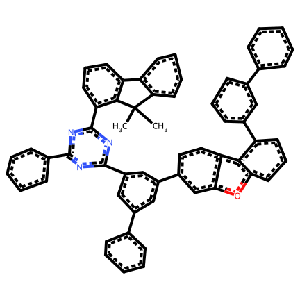 CC1(C)c2ccccc2-c2cccc(-c3nc(-c4ccccc4)nc(-c4cc(-c5ccccc5)cc(-c5ccc6c(c5)oc5cccc(-c7cccc(-c8ccccc8)c7)c56)c4)n3)c21